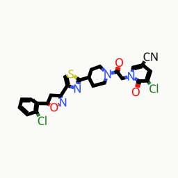 N#Cc1cc(Cl)c(=O)n(CC(=O)N2CCC(c3nc(C4=NOC(c5[c]cccc5Cl)C4)cs3)CC2)c1